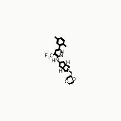 Cc1ccc(C)c(-c2cc(C(F)(F)F)c(N[C@H]3C[C@@H]4CN(C[C@H]5COCCO5)C[C@@H]4C3)nn2)c1